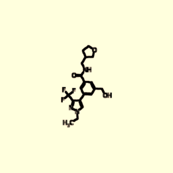 CCn1cc(-c2cc(CO)cc(C(=O)NCC3CCOC3)c2)c(C(F)(F)F)n1